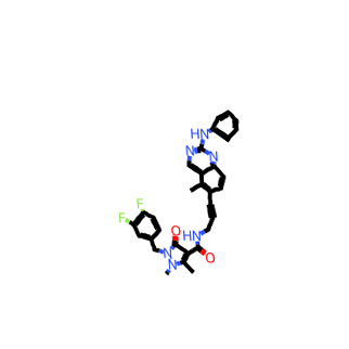 Cc1c(C#CCNC(=O)c2c(C)n(C)n(Cc3ccc(F)c(F)c3)c2=O)ccc2nc(Nc3ccccc3)ncc12